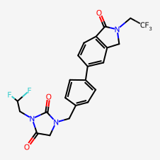 O=C1c2ccc(-c3ccc(CN4CC(=O)N(CC(F)F)C4=O)cc3)cc2CN1CC(F)(F)F